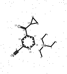 CCN(CC)CC.N#Cc1cc(C(=O)C2CC2)ccn1